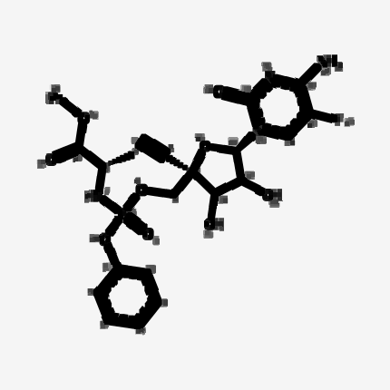 C#C[C@]1(COP(=O)(N[C@@H](C)C(=O)OC(C)C)Oc2ccccc2)O[C@@H](n2cc(F)c(N)nc2=O)C(O)C1O